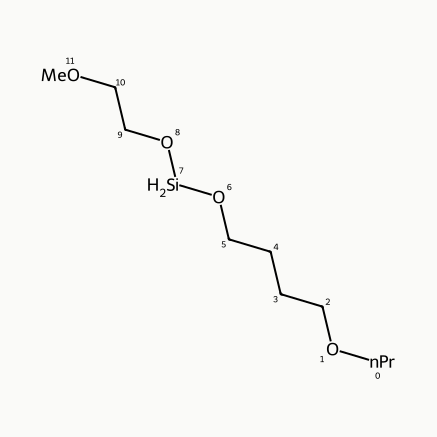 CCCOCCCCO[SiH2]OCCOC